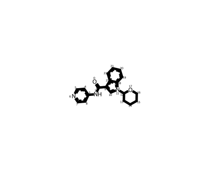 O=C(Nc1ccncc1)c1cn(C2CCCCO2)c2ccccc12